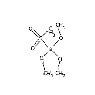 CO[Si](OC)(OC)S(C)(=O)=O